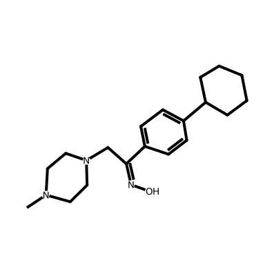 CN1CCN(CC(=NO)c2ccc(C3CCCCC3)cc2)CC1